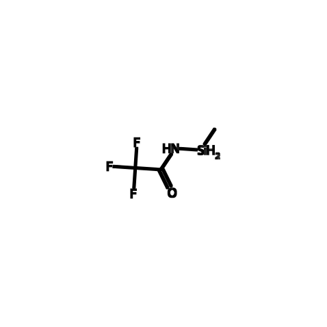 C[SiH2]NC(=O)C(F)(F)F